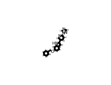 c1ccc(COc2ccc3cc(-c4ccc(-n5cncn5)nc4)[nH]c3c2)cc1